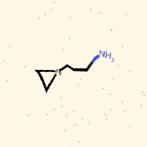 NC[CH2][Fe]1[CH2][CH2]1